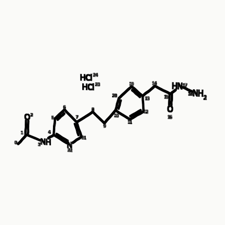 CC(=O)Nc1ccc(CCc2ccc(CC(=O)NN)cc2)cn1.Cl.Cl